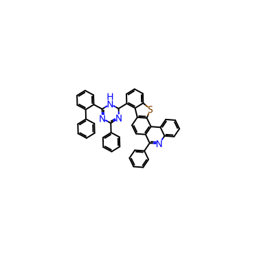 c1ccc(C2=NC(c3cccc4sc5c(ccc6c(-c7ccccc7)nc7ccccc7c65)c34)NC(c3ccccc3-c3ccccc3)=N2)cc1